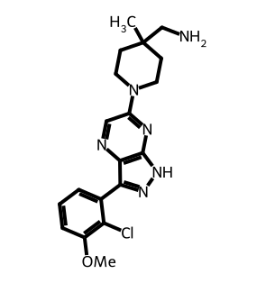 COc1cccc(-c2n[nH]c3nc(N4CCC(C)(CN)CC4)cnc23)c1Cl